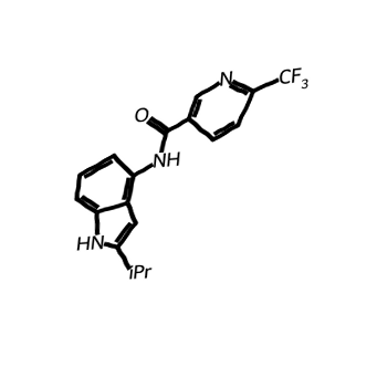 CC(C)c1cc2c(NC(=O)c3ccc(C(F)(F)F)nc3)cccc2[nH]1